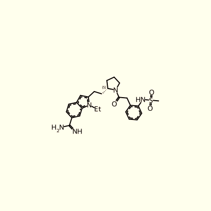 CCn1c(CC[C@@H]2CCCN2C(=O)Cc2ccccc2NS(C)(=O)=O)cc2ccc(C(=N)N)cc21